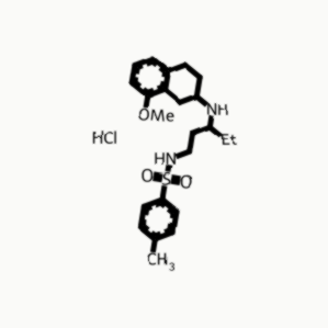 CCC(CCNS(=O)(=O)c1ccc(C)cc1)NC1CCc2cccc(OC)c2C1.Cl